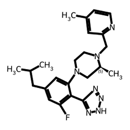 Cc1ccnc(CN2CCN(c3cc(CC(C)C)cc(F)c3-c3nn[nH]n3)C[C@@H]2C)c1